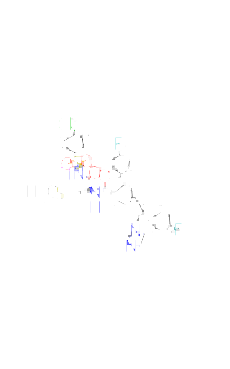 CSCC[C@H](NC(=O)c1ccc(C=C(Cn2ccnc2)c2ccc(F)cc2)cc1-c1ccc(F)cc1)C(=O)NS(=O)(=O)c1ccc(Cl)cc1